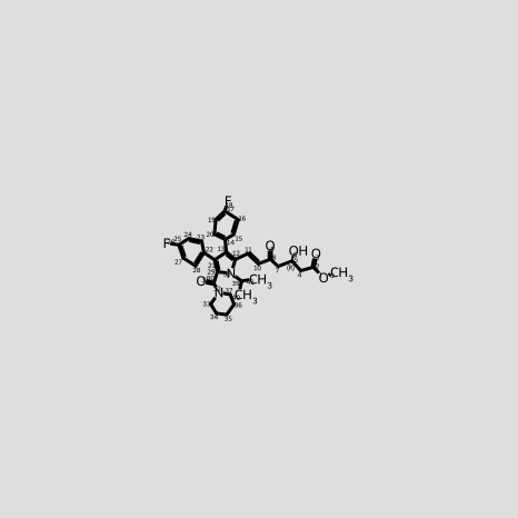 COC(=O)C[C@H](O)CC(=O)C=Cc1c(-c2ccc(F)cc2)c(-c2ccc(F)cc2)c(C(=O)N2CCCCC2)n1C(C)C